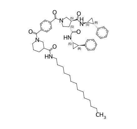 CCCCCCCCCCCCCCNC(=O)C1CCCN(C(=O)c2ccc(C(=O)N3C[C@@H](C(=O)N[C@H]4C[C@@H]4c4ccccc4)[C@H](C(=O)N[C@H]4C[C@@H]4c4ccccc4)C3)cc2)C1